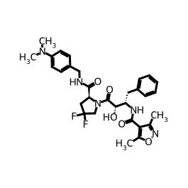 Cc1noc(C)c1C(=O)N[C@@H](Cc1ccccc1)[C@H](O)C(=O)N1CC(F)(F)C[C@H]1C(=O)NCc1ccc(N(C)C)cc1